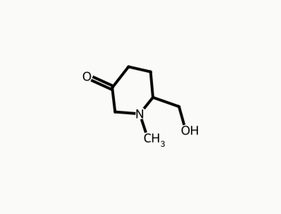 CN1CC(=O)CCC1CO